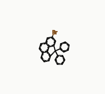 Brc1cc2c3c(ccc4cccc(c43)C2(c2ccccc2)c2ccccc2)c1